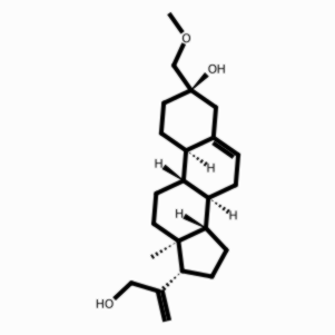 C=C(CO)[C@H]1CC[C@H]2[C@@H]3CC=C4C[C@@](O)(COC)CC[C@@H]4[C@H]3CC[C@]12C